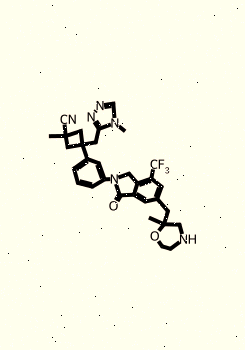 Cn1cnnc1CC1(c2cccc(N3Cc4c(cc(CC5(C)CNCCO5)cc4C(F)(F)F)C3=O)c2)CC(C)(C#N)C1